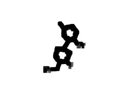 Cc1ccc(C(C)C)c(-c2ccc(CC(C)C)c(F)c2)c1